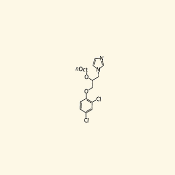 CCCCCCCCOC(COc1ccc(Cl)cc1Cl)Cn1ccnc1